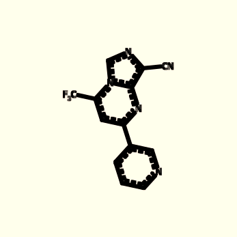 N#Cc1ncn2c(C(F)(F)F)cc(-c3cccnc3)nc12